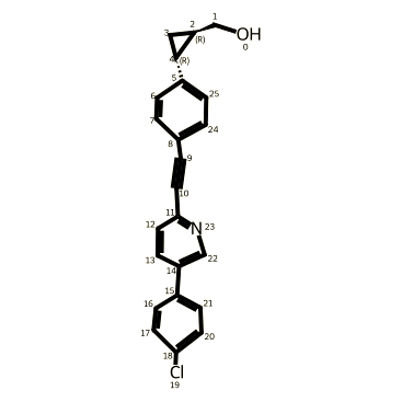 OC[C@@H]1C[C@H]1c1ccc(C#Cc2ccc(-c3ccc(Cl)cc3)cn2)cc1